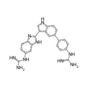 N=C(N)Nc1ccc(-c2ccc3[nH]cc(-c4nc5ccc(NC(=N)N)cc5[nH]4)c3c2)cc1